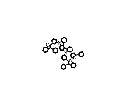 C1=Cc2c(n(-c3cccc(-c4oc5ccccc5c4-c4ccccc4)c3)c3ccc4c(c5c(n4-c4cccc(-c6c(-c7ccccc7)c7ccccc7n6-c6cccc(-c7ccccc7)n6)c4)CCC=C5)c23)CC1